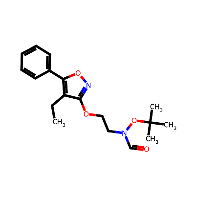 CCc1c(OCCN(C=O)OC(C)(C)C)noc1-c1ccccc1